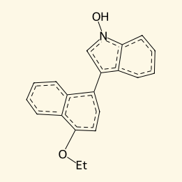 CCOc1ccc(-c2cn(O)c3ccccc23)c2ccccc12